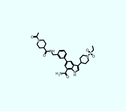 CCS(=O)(=O)N1CCC(c2c[nH]c3c(C(N)=O)cc(-c4cccc(CNC(=O)C5CCN(C(C)=O)CC5)c4)cc23)CC1